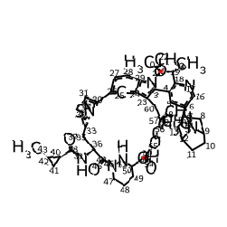 CCn1c(-c2cc(N3CC4CCC(C3)N4C)cnc2[C@H](C)OC)c2c3cc(ccc31)-c1csc(n1)C[C@H](NC(=O)[C@H]1C[C@@H]1C)C(=O)N1CCC[C@@](O)(N1)C(=O)OCC(C)(C)C2